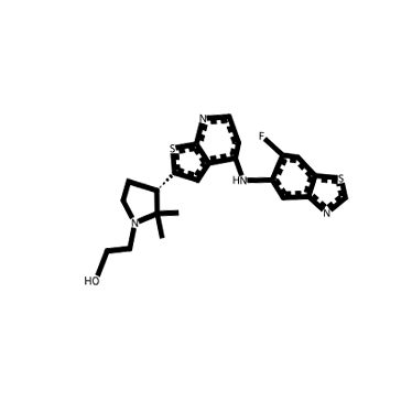 CC1(C)[C@@H](c2cc3c(Nc4cc5ncsc5cc4F)ccnc3s2)CCN1CCO